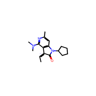 C/C=C1\C(=O)N(C2CCCC2)c2cc(C)nc(N(C)C)c21